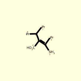 CC(C)C([SiH3])=C(C(=O)O)C(C(C)C)C(C)C